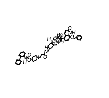 CC(C)(C)[Si](C)(C)OC(CNCC1CCCC(CNC(=O)CCN2CCC(OC(=O)Nc3ccccc3-c3ccccc3)CC2)C1)c1ccc(OCc2ccccc2)c2[nH]c(=O)ccc12